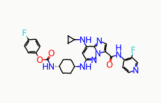 O=C(N[C@H]1CC[C@H](Nc2cc(NC3CC3)c3ncc(C(=O)Nc4ccncc4F)n3n2)CC1)Oc1ccc(F)cc1